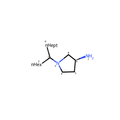 CCCCCCCC(CCCCCC)N1CC[C@H](N)C1